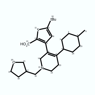 CC1CCC(C2=C(c3cc(C(C)(C)C)sc3C(=O)O)CN(CC3CCOC3)CC2)CC1